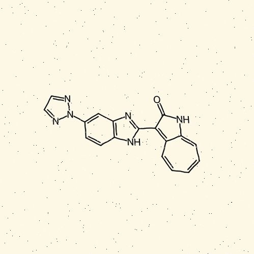 O=c1[nH]c2cccccc-2c1-c1nc2cc(-n3nccn3)ccc2[nH]1